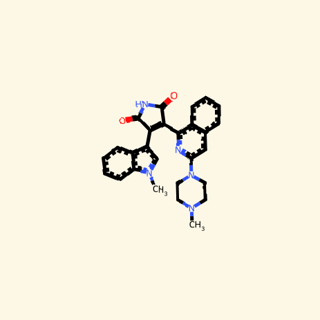 CN1CCN(c2cc3ccccc3c(C3=C(c4cn(C)c5ccccc45)C(=O)NC3=O)n2)CC1